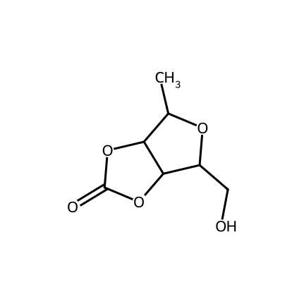 CC1OC(CO)C2OC(=O)OC12